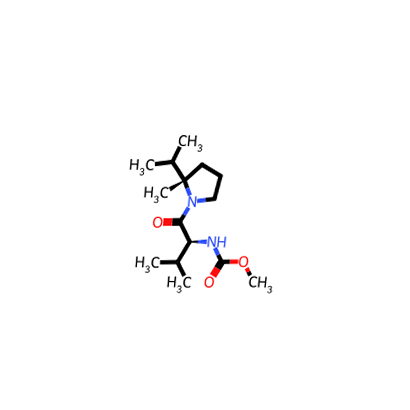 COC(=O)N[C@H](C(=O)N1CCC[C@@]1(C)C(C)C)C(C)C